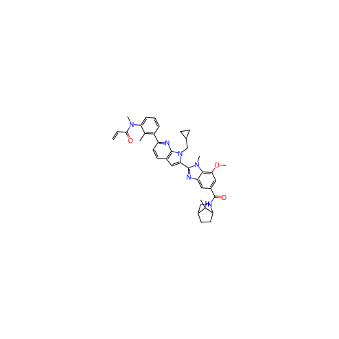 C=CC(=O)N(C)c1cccc(-c2ccc3cc(-c4nc5cc(C(=O)N6CC7CCC6[C@@H]7C)cc(OC)c5n4C)n(CC4CC4)c3n2)c1C